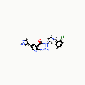 Cn1cc(-c2cnc(N)c(C(=O)N[C@@H]3CCN(Cc4ccccc4Cl)C3)c2)cn1